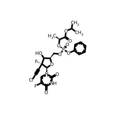 CC(C)OC(=O)[C@H](C)O[P@](=O)(OC[C@H]1O[C@@H](n2cc(F)c(=O)[nH]c2=O)[C@@](F)(C#CCl)C1O)Oc1ccccc1